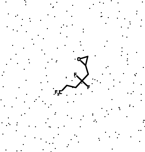 FC(F)(F)CCC(F)(F)CC1CO1